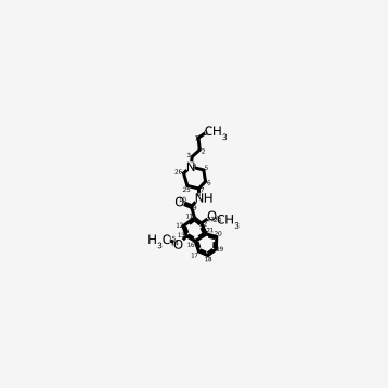 CCCCN1CCC(NC(=O)c2cc(OC)c3ccccc3c2OC)CC1